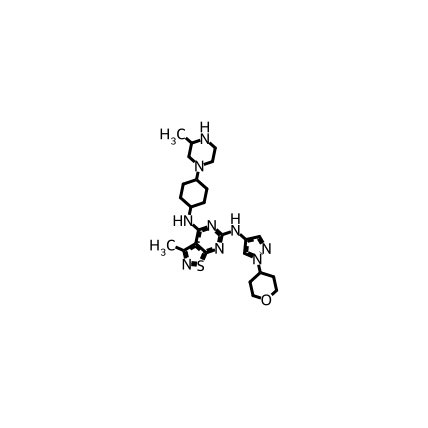 Cc1nsc2nc(Nc3cnn(C4CCOCC4)c3)nc(NC3CCC(N4CCNC(C)C4)CC3)c12